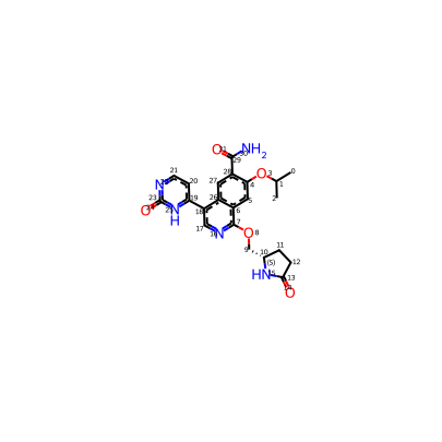 CC(C)Oc1cc2c(OC[C@@H]3CCC(=O)N3)ncc(-c3ccnc(=O)[nH]3)c2cc1C(N)=O